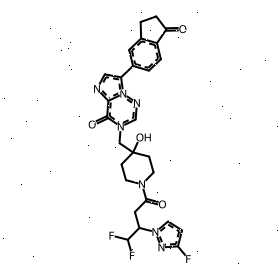 O=C1CCc2cc(-c3cnc4c(=O)n(CC5(O)CCN(C(=O)CC(C(F)F)n6ccc(F)n6)CC5)cnn34)ccc21